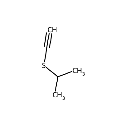 C#CSC(C)C